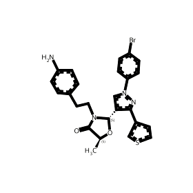 C[C@@H]1O[C@@H](c2cn(-c3ccc(Br)cc3)nc2-c2ccsc2)N(CCc2ccc(N)cc2)C1=O